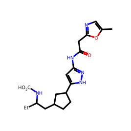 CCC(CC1CCC(c2cc(NC(=O)Cc3ncc(C)o3)n[nH]2)C1)NC(=O)O